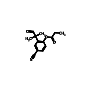 CCC(=O)Oc1ccc(C#N)cc1C(C)(C)C=O